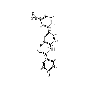 Cc1ncc(C(=O)Nc2ncc(-c3cccc(C4CC4)c3)cc2F)cn1